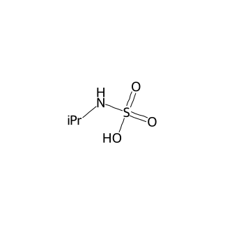 [CH2]C(C)NS(=O)(=O)O